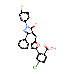 O=C(O)c1ccc(Cl)cc1-c1ccc(/C=C2/C(=O)N(c3ccc(F)cc3)N=C2c2ccccc2)o1